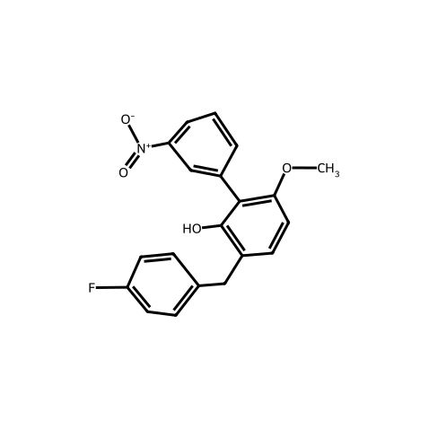 COc1ccc(Cc2ccc(F)cc2)c(O)c1-c1cccc([N+](=O)[O-])c1